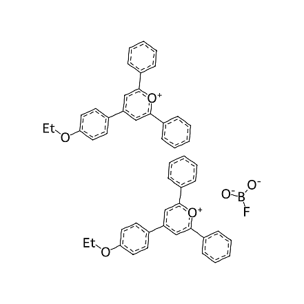 CCOc1ccc(-c2cc(-c3ccccc3)[o+]c(-c3ccccc3)c2)cc1.CCOc1ccc(-c2cc(-c3ccccc3)[o+]c(-c3ccccc3)c2)cc1.[O-]B([O-])F